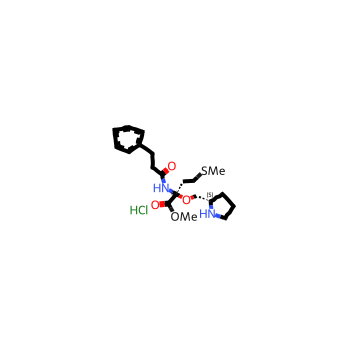 COC(=O)[C@@](CCSC)(NC(=O)CCc1ccccc1)OC[C@@H]1CCCN1.Cl